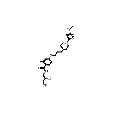 Cc1cc(OCCCC2CCN(c3nc(C(C)C)no3)CC2)ccc1C(=O)NC[C@H](O)CO